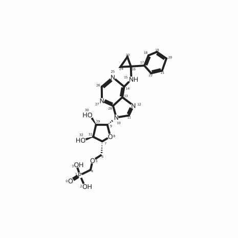 O=P(O)(O)COC[C@H]1O[C@@H](n2cnc3c(NC4(c5ccccc5)CC4)ncnc32)[C@H](O)[C@@H]1O